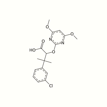 COc1cc(OC)nc(OC(C(=O)O)C(C)(C)c2cccc(Cl)c2)n1